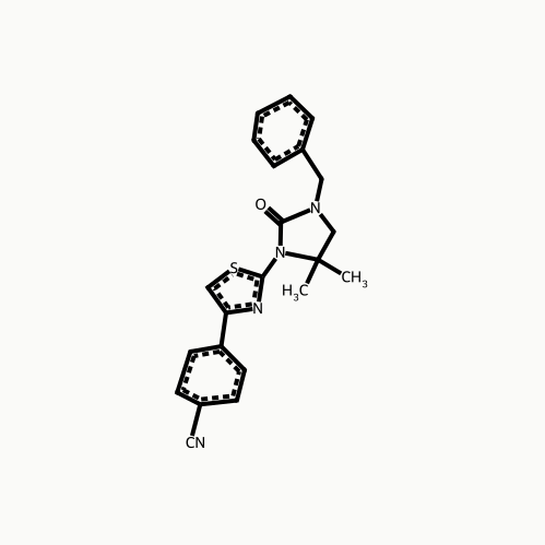 CC1(C)CN(Cc2ccccc2)C(=O)N1c1nc(-c2ccc(C#N)cc2)cs1